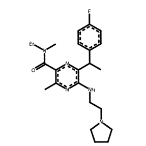 CCN(C)C(=O)c1nc(C(C)c2ccc(F)cc2)c(NCCN2CCCC2)nc1C